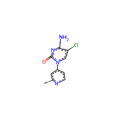 Cc1cc(-n2cc(Cl)c(N)nc2=O)ccn1